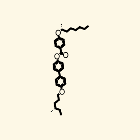 CCCCCC[C@@H](C)Oc1ccc(C(=O)Oc2ccc(-c3ccc(OCCC[C@@H](C)CC)cc3)cc2)cc1